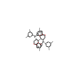 Cc1cc(C)cc(P(c2cc(C)cc(C)c2)c2ccc3c(c2-c2c(P(c4cc(C)cc(C)c4)c4cc(C)cc(C)c4)ccc4c2OCO4)OCO3)c1